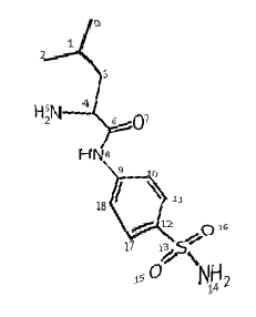 CC(C)CC(N)C(=O)Nc1ccc(S(N)(=O)=O)cc1